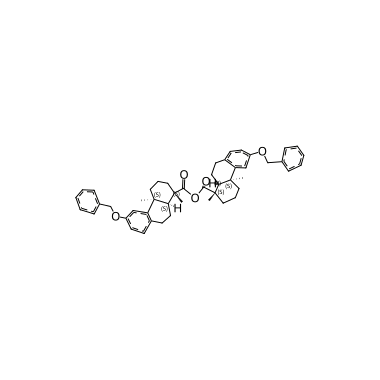 C[C@]1(C(=O)OC(=O)[C@@]2(C)CCC[C@]3(C)c4cc(OCc5ccccc5)ccc4CC[C@@H]23)CCC[C@]2(C)c3cc(OCc4ccccc4)ccc3CC[C@H]12